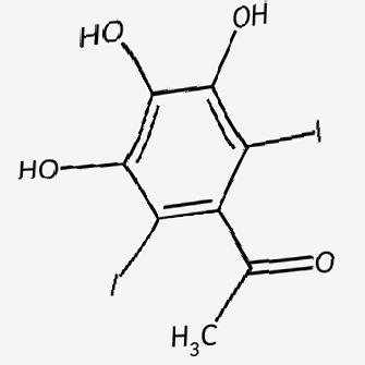 CC(=O)c1c(I)c(O)c(O)c(O)c1I